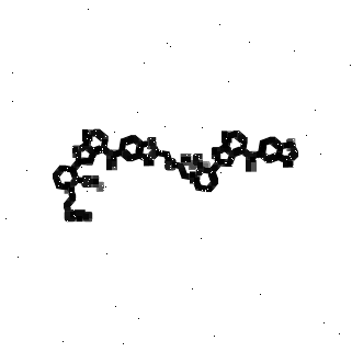 COCCN1CCCC(c2cc3c(Nc4ccc5sc(COCCN6CCC=C(c7cc8c(Nc9ccc%10scnc%10c9)ccnc8s7)[C@@H]6C)nc5c4)ccnc3s2)C1C